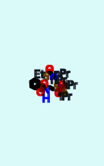 CC(C)OP(=S)(OC(C)C)SCCNS(=O)(=O)c1ccccc1.CCCN(CCC)C(=O)SCC